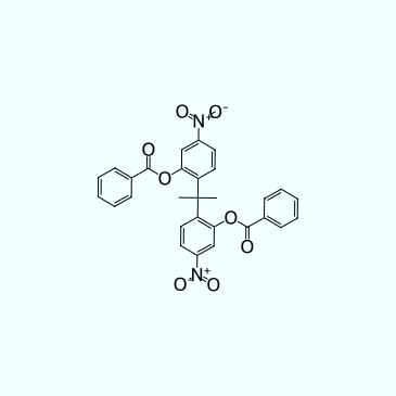 CC(C)(c1ccc([N+](=O)[O-])cc1OC(=O)c1ccccc1)c1ccc([N+](=O)[O-])cc1OC(=O)c1ccccc1